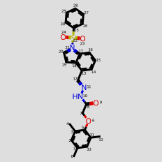 Cc1cc(C)c(OCC(=O)N/N=C/c2cccc3c2ccn3S(=O)(=O)c2ccccc2)c(C)c1